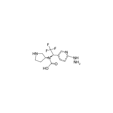 NNc1ccc([C@@H](N(C(=O)O)[C@H]2CCNC2)C(F)(F)F)cn1